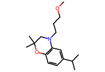 COCCCN1CC(C)(C)Oc2ccc(C(C)C)cc21